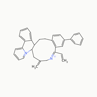 C=C/C1=N/CC(=C)CC2C(CCc3ccc(-c4ccccc4)cc31)c1ccccc1-c1cccc[n+]12